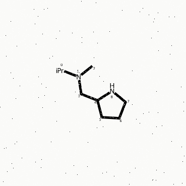 CC(C)N(C)CC1CCCN1